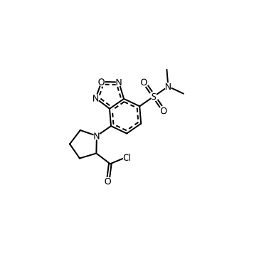 CN(C)S(=O)(=O)c1ccc(N2CCCC2C(=O)Cl)c2nonc12